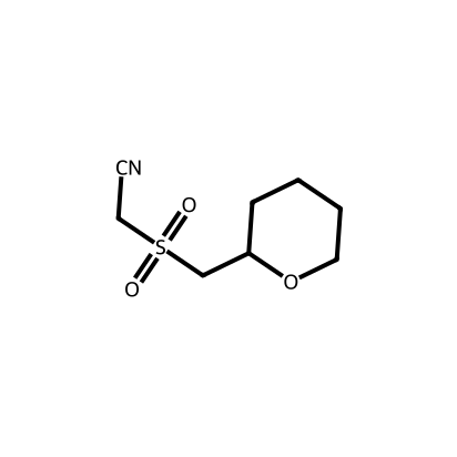 N#CCS(=O)(=O)CC1CCCCO1